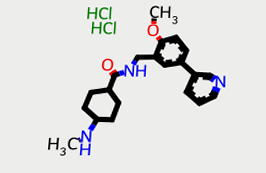 CNC1CCC(C(=O)NCc2cc(-c3cccnc3)ccc2OC)CC1.Cl.Cl